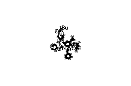 CC(C)(C)OC(=O)N1C[C@@H]2C[C@H]1CN2c1nc(OC2CCOCC2)nc2c(OCc3ccccc3)c(B3OC(C)(C)C(C)(C)O3)c(C3CC3)cc12